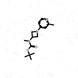 Cc1cc(N2CC(N(C)C(=O)OC(C)(C)C)C2)ccn1